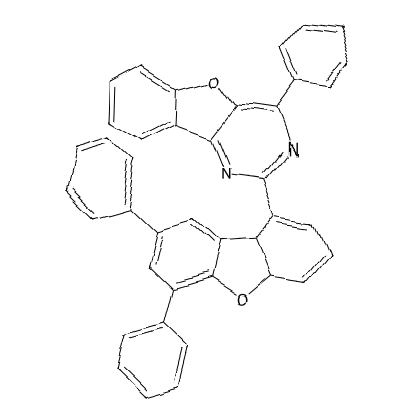 C1=CC2Oc3c(-c4ccccc4)cc(-c4ccccc4)cc3C2C(c2nc(-c3ccccc3)c3oc4ccccc4c3n2)=C1